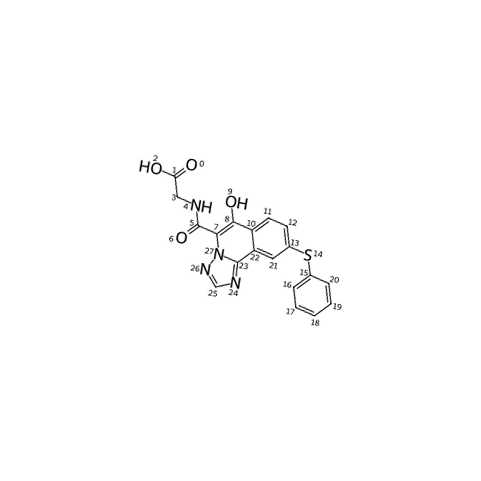 O=C(O)CNC(=O)c1c(O)c2ccc(Sc3ccccc3)cc2c2ncnn12